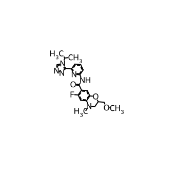 COCC1CN(C)c2cc(F)c(C(=O)Nc3cccc(-c4nncn4C(C)C)n3)cc2O1